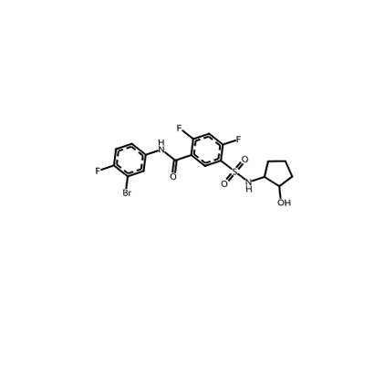 O=C(Nc1ccc(F)c(Br)c1)c1cc(S(=O)(=O)NC2CCCC2O)c(F)cc1F